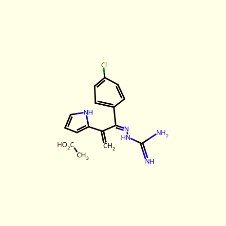 C=C(C(=NNC(=N)N)c1ccc(Cl)cc1)c1ccc[nH]1.CC(=O)O